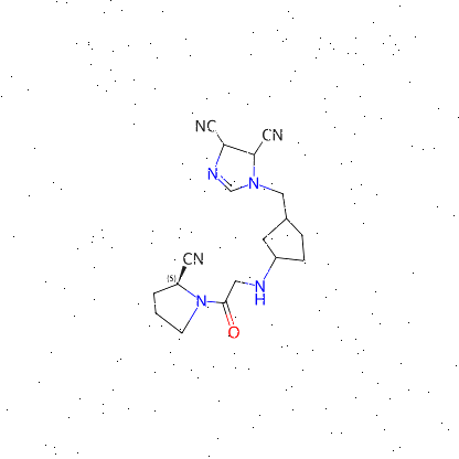 N#CC1N=CN(CC2CCC(NCC(=O)N3CCC[C@H]3C#N)C2)C1C#N